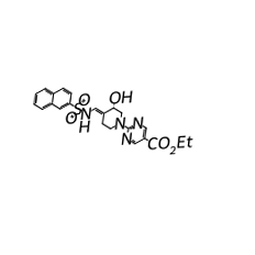 CCOC(=O)c1cnc(N2CC/C(=C\NS(=O)(=O)c3ccc4ccccc4c3)[C@H](O)C2)nc1